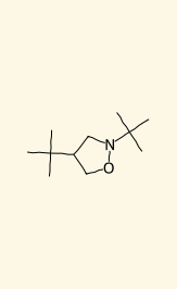 CC(C)(C)C1CON(C(C)(C)C)C1